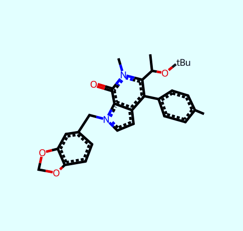 Cc1ccc(-c2c(C(C)OC(C)(C)C)n(C)c(=O)c3c2ccn3Cc2ccc3c(c2)OCO3)cc1